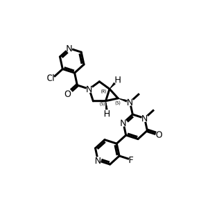 CN(c1nc(-c2ccncc2F)cc(=O)n1C)[C@H]1[C@@H]2CN(C(=O)c3ccncc3Cl)C[C@@H]21